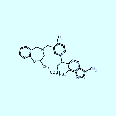 Cc1ccc(C(CC(=O)O)c2ccc3c(nnn3C)c2C)cc1CN1Cc2ccccc2OC(C)C1